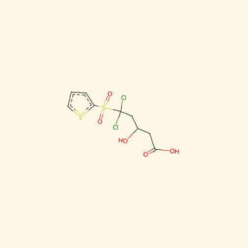 O=C(O)CC(O)CC(Cl)(Cl)S(=O)(=O)c1cccs1